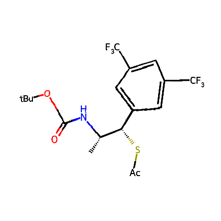 CC(=O)S[C@@H](c1cc(C(F)(F)F)cc(C(F)(F)F)c1)[C@H](C)NC(=O)OC(C)(C)C